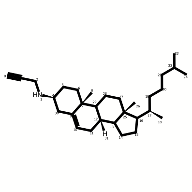 C#CCN[C@H]1CC[C@@]2(C)C(=CC[C@H]3C4CCC([C@H](C)CCCC(C)C)[C@@]4(C)CCC32)C1